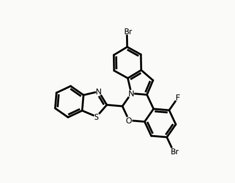 Fc1cc(Br)cc2c1-c1cc3cc(Br)ccc3n1C(c1nc3ccccc3s1)O2